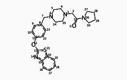 O=C(CN1CCN(Cc2ccc(Oc3nc4ccccc4s3)cc2)CC1)N1CCCC1